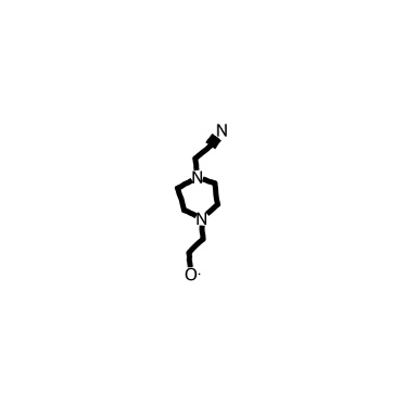 N#CCN1CCN(CC[O])CC1